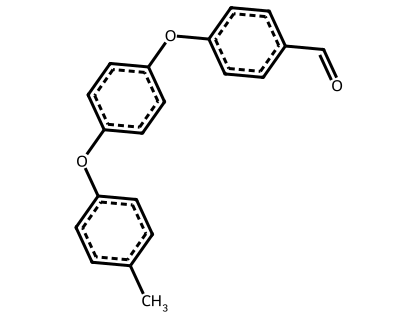 Cc1ccc(Oc2ccc(Oc3ccc(C=O)cc3)cc2)cc1